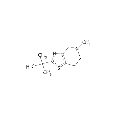 CN1CCc2sc(C(C)(C)C)nc2C1